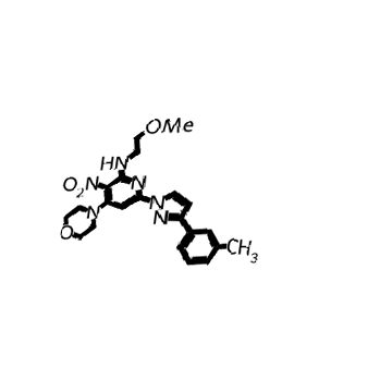 COCCNc1nc(-n2ccc(-c3cccc(C)c3)n2)cc(N2CCOCC2)c1[N+](=O)[O-]